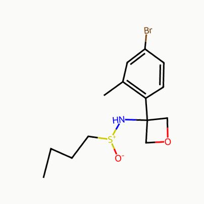 CCCC[S+]([O-])NC1(c2ccc(Br)cc2C)COC1